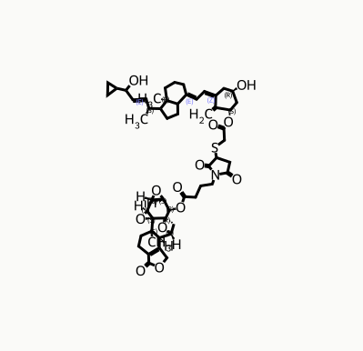 C=C1/C(=C\C=C2/CCC[C@@]3(C)C2CCC3[C@@H](C)/C=C/C(O)C2CC2)C[C@@H](O)C[C@@H]1OC(=O)CSC1CC(=O)N(CCCC(=O)O[C@@H]2[C@@]3(C(C)C)O[C@H]3[C@@H]3O[C@@]34[C@@]3(C)CCC5=C(COC5=O)[C@@H]3[C@H]3C[C@@]24O3)C1=O